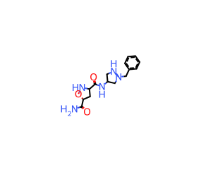 NC(=O)C1CC(C(=O)NC2CNN(Cc3ccccc3)C2)NO1